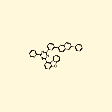 c1ccc(-c2ccc3cc(-c4cccc(-c5nc(-c6ccccc6)nc(-c6cccc7oc8ccccc8c67)n5)c4)ccc3c2)cc1